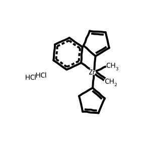 Cl.Cl.[CH2]=[Zr]([CH3])([C]1=CC=CC1)([C]1=CC=CC1)[c]1ccccc1